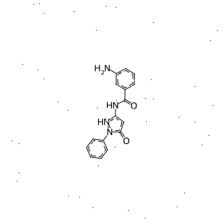 Nc1cccc(C(=O)Nc2cc(=O)n(-c3ccccc3)[nH]2)c1